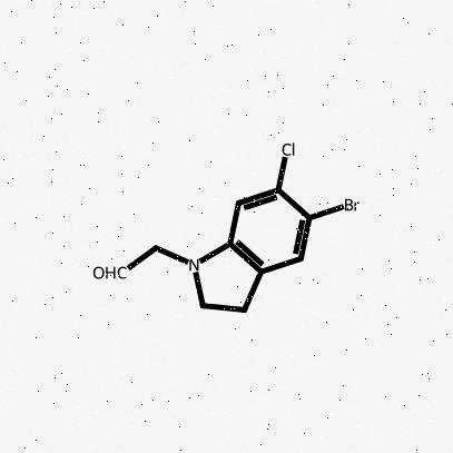 O=CCN1CCc2cc(Br)c(Cl)cc21